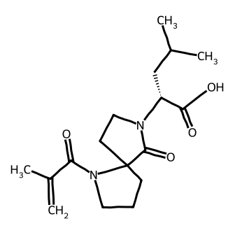 C=C(C)C(=O)N1CCCC12CCN([C@H](CC(C)C)C(=O)O)C2=O